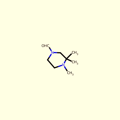 CN1CCN(C=O)CC1(C)C